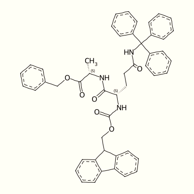 C[C@H](NC(=O)[C@H](CCC(=O)NC(c1ccccc1)(c1ccccc1)c1ccccc1)NC(=O)OCC1c2ccccc2-c2ccccc21)C(=O)OCc1ccccc1